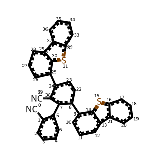 N#Cc1ccccc1-c1c(-c2cccc3c2sc2ccccc23)ccc(-c2cccc3c2sc2ccccc23)c1C#N